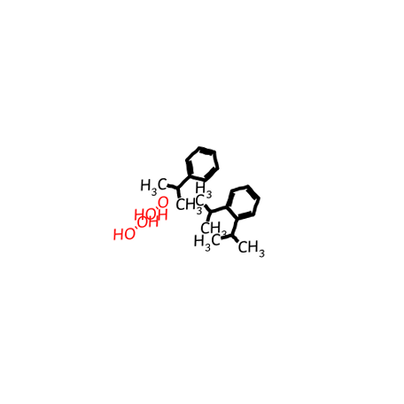 CC(C)c1ccccc1.CC(C)c1ccccc1C(C)C.OO.OO